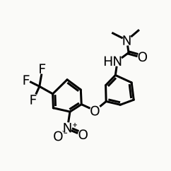 CN(C)C(=O)Nc1cccc(Oc2ccc(C(F)(F)F)cc2[N+](=O)[O-])c1